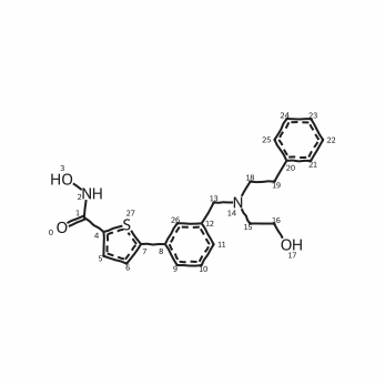 O=C(NO)c1ccc(-c2cccc(CN(CCO)CCc3ccccc3)c2)s1